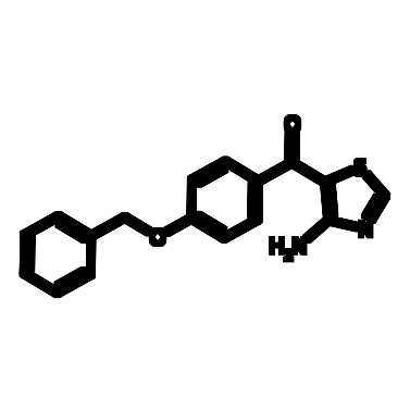 Nc1ncsc1C(=O)c1ccc(OCc2ccccc2)cc1